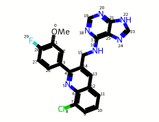 COc1cc(-c2nc3c(Cl)cccc3cc2CNc2ncnc3[nH]cnc23)ccc1F